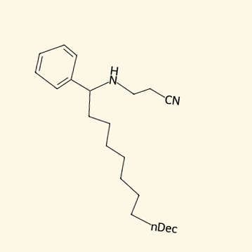 CCCCCCCCCCCCCCCCCC(NCCC#N)c1ccccc1